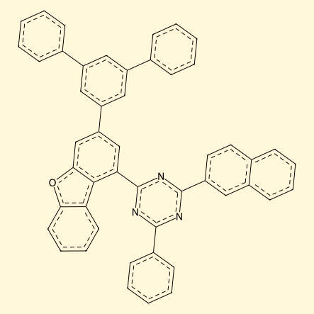 c1ccc(-c2cc(-c3ccccc3)cc(-c3cc(-c4nc(-c5ccccc5)nc(-c5ccc6ccccc6c5)n4)c4c(c3)oc3ccccc34)c2)cc1